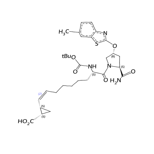 Cc1ccc2nc(O[C@@H]3C[C@@H](C(N)=O)N(C(=O)[C@H](CCCCC/C=C\[C@@H]4C[C@@H]4C(=O)O)NC(=O)OC(C)(C)C)C3)sc2c1